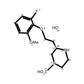 COc1cccc(F)c1OCC[C@@H]1CN(C(=O)O)CCN1.Cl